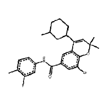 Cc1ccc(NC(=O)c2cc(Br)c3c(c2)C(C2CCCC(C)C2)=CC(C)(C)O3)cc1F